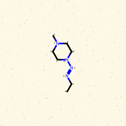 CCN=NN1CCN(C)CC1